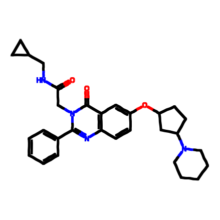 O=C(Cn1c(-c2ccccc2)nc2ccc(OC3CCC(N4CCCCC4)C3)cc2c1=O)NCC1CC1